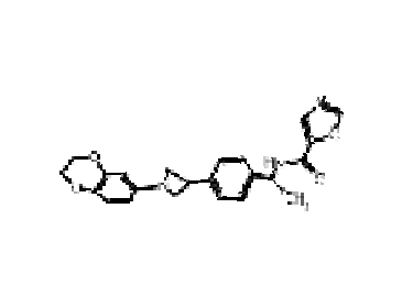 C[C@H](NC(=O)c1cnco1)c1ccc(C2CN(c3ccc4c(c3)OCCO4)C2)cc1